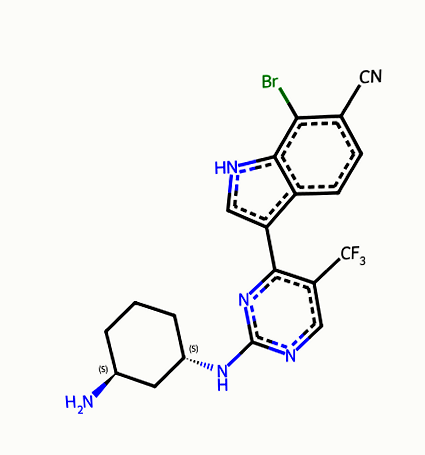 N#Cc1ccc2c(-c3nc(N[C@H]4CCC[C@H](N)C4)ncc3C(F)(F)F)c[nH]c2c1Br